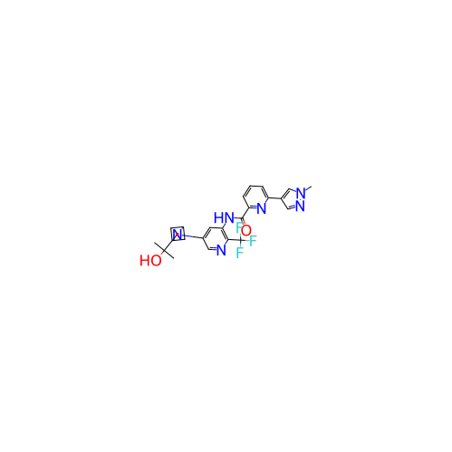 Cn1cc(-c2cccc(C(=O)Nc3cc(N4CC5(C(C)(C)O)CC4C5)cnc3C(F)(F)F)n2)cn1